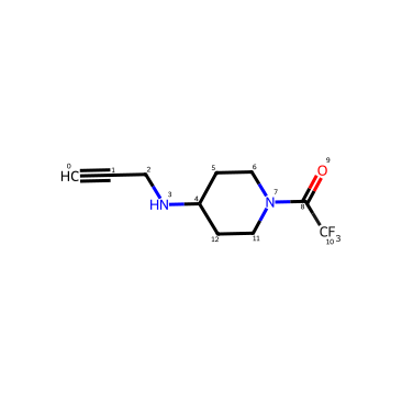 C#CCNC1CCN(C(=O)C(F)(F)F)CC1